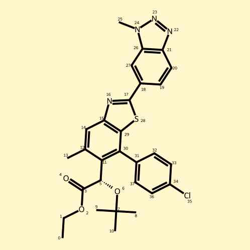 CCOC(=O)[C@@H](OC(C)(C)C)c1c(C)cc2nc(-c3ccc4nnn(C)c4c3)sc2c1-c1ccc(Cl)cc1